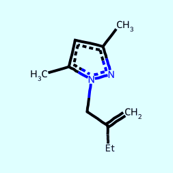 C=C(CC)Cn1nc(C)cc1C